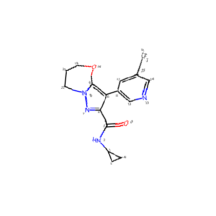 O=C(NC1CC1)c1nn2c(c1-c1cncc(C(F)(F)F)c1)OCCC2